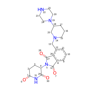 O=C1CCC(N2C(=O)c3cccc(CN4CCCC(N5CCNCC5)C4)c3C2=O)C(=O)N1